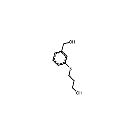 OCCCSc1cccc(CO)c1